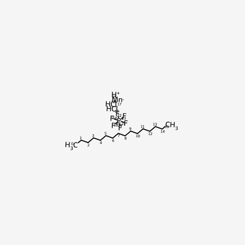 CCCCCCCCCCCCCCCC.Cl.Cl.F[P-](F)(F)(F)(F)F.[H+].[Mn]